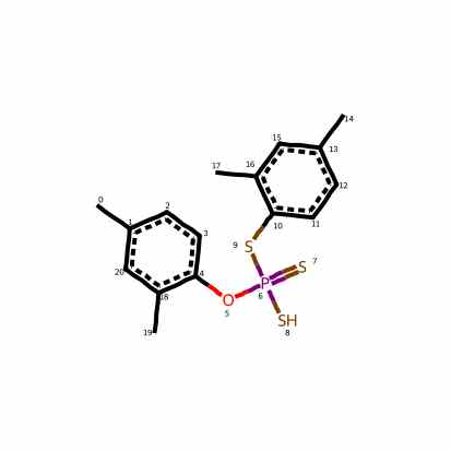 Cc1ccc(OP(=S)(S)Sc2ccc(C)cc2C)c(C)c1